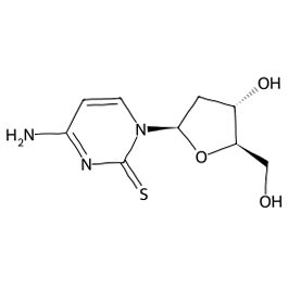 Nc1ccn([C@H]2C[C@H](O)[C@@H](CO)O2)c(=S)n1